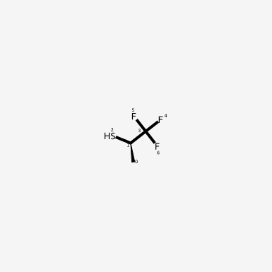 C[C@@H](S)C(F)(F)F